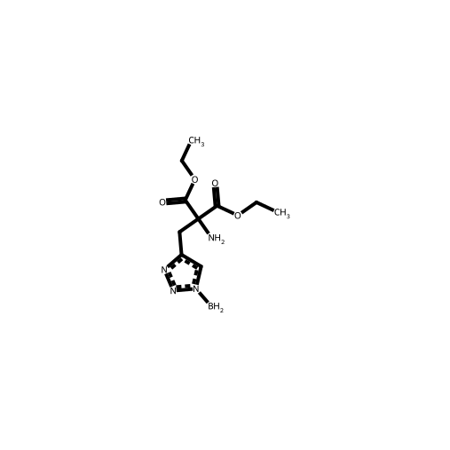 Bn1cc(CC(N)(C(=O)OCC)C(=O)OCC)nn1